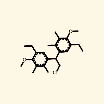 CCc1cc(C(CCl)c2cc(CC)c(OC)c(C)c2C)c(C)c(C)c1OC